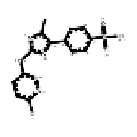 Cc1nc(Nc2ccc(Cl)nn2)sc1-c1ccc(S(N)(=O)=O)cc1